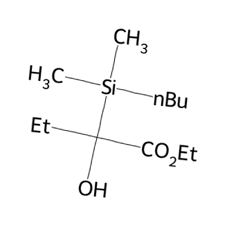 CCCC[Si](C)(C)C(O)(CC)C(=O)OCC